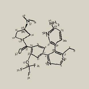 CCc1ncnc(-c2ccc(C(=O)N3CC[C@@H](N(C)C)C3)c(OC(F)(F)F)c2)c1-c1ccc(N)nc1